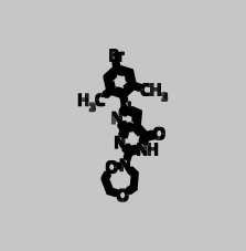 Cc1cc(Br)cc(C)c1-n1cc2c(=O)[nH]c(N3CCOCCO3)nc2n1